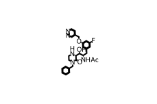 CC(=O)N[C@@H](Cc1cc(F)cc(OCc2ccnnc2)c1)[C@H](O)[C@@H]1NCCN(Cc2ccccc2)C1=O